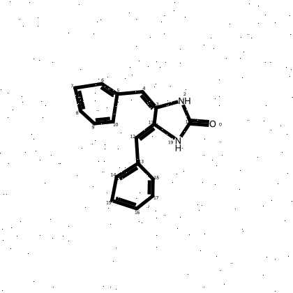 O=c1[nH]c(=Cc2ccccc2)c(=Cc2ccccc2)[nH]1